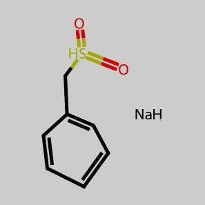 O=[SH](=O)Cc1ccccc1.[NaH]